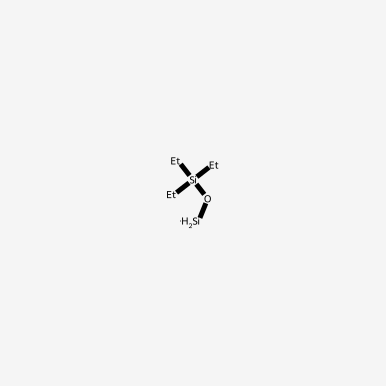 CC[Si](CC)(CC)O[SiH2]